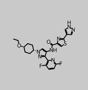 CCO[C@H]1CC[C@H](n2cc(NC(=O)c3csc(-c4cn[nH]c4)n3)c(-c3nc(F)ccc3F)n2)CC1